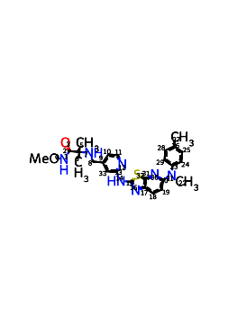 CONC(=O)C(C)(C)NCc1ccnc(Nc2nc3ccc(N(C)c4ccc(C)cc4)nc3s2)c1